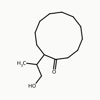 CC(CO)C1CCCCCCCCCCC1=O